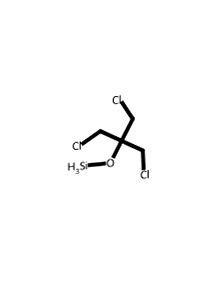 [SiH3]OC(CCl)(CCl)CCl